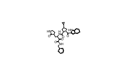 O=C(NCc1ccccc1)C(=O)C(CC1CCNC1=O)NC(=O)C1CC(C2CC2)CN1C(=O)c1cc2ccccc2[nH]1